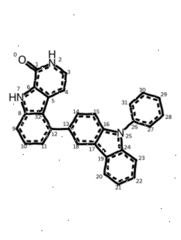 O=c1[nH]ccc2c1[nH]c1cccc(-c3ccc4c(c3)c3ccccc3n4-c3ccccc3)c12